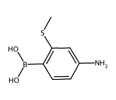 CSc1cc(N)ccc1B(O)O